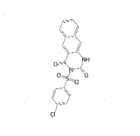 O=c1[nH]c2cc3ccccc3cc2c(=O)n1S(=O)(=O)c1ccc(Cl)cc1